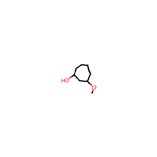 COC1CCCC[C](O)C1